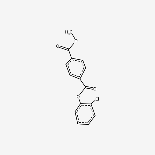 COC(=O)c1ccc(C(=O)Oc2ccccc2Cl)cc1